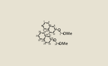 COCOc1[c]c2ccccc2cc1.COCOc1[c]c2ccccc2cc1